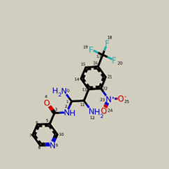 NC(NC(=O)c1cccnc1)C(N)c1ccc(C(F)(F)F)cc1[N+](=O)[O-]